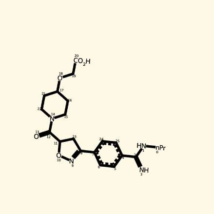 CCCNC(=N)c1ccc(C2=NOC(C(=O)N3CCC(OCC(=O)O)CC3)C2)cc1